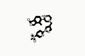 Cc1c([C@@H]2CN(Cc3cnn(-c4ccc(S(C)(=O)=O)cn4)c3)CCN2)ccc2c1COC2=O